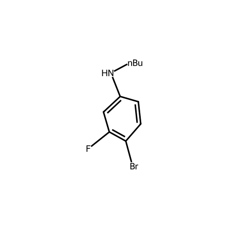 CCCCNc1ccc(Br)c(F)c1